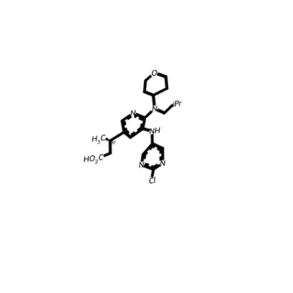 CC(C)CN(c1ncc([C@H](C)CC(=O)O)cc1Nc1cnc(Cl)nc1)C1CCOCC1